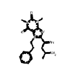 CC(N)CC(=N)c1nc2c(c(=O)n(C)c(=O)n2C)n1CCc1ccccc1